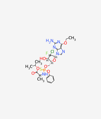 CCOc1nc(N)nc2c1ncn2[C@@H]1O[C@H](COP(=S)(N[C@H](C)C(=O)OC(C)C)Oc2ccccc2)[C@@H](O)[C@@]1(F)Cl